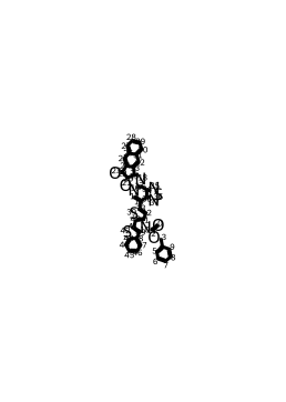 O=C(OCc1ccccc1)n1c2cc(-c3cnc(/N=c4\c(=O)c(=O)c5cc6ccccc6cc45)c4nsnc34)sc2c2sc3ccccc3c21